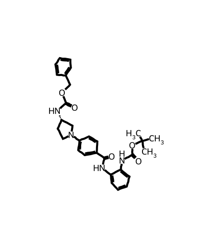 CC(C)(C)OC(=O)Nc1ccccc1NC(=O)c1ccc(N2CC[C@H](NC(=O)OCc3ccccc3)C2)cc1